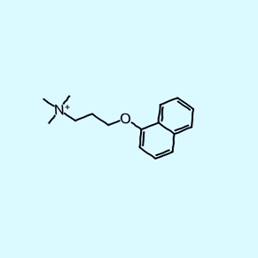 C[N+](C)(C)CCCOc1cccc2ccccc12